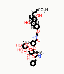 CC[C@@H]1CC(C(=O)NCCO[C@@H]2CC[C@@]3(C)[C@@H](C2)C[C@@H](O)[C@@H]2[C@@H]3C[C@H](O)[C@]3(C)[C@@H]([C@H](C)CCC(=O)O)CC[C@@H]23)C[C@@H](O[C@@H]2O[C@@H](CO)[C@H](O)C(O[C@@H](CC3CCCCC3)C(=O)N(C)C)C2NC(C)=O)C1OC1O[C@@H](C)C(O)[C@H](O)[C@@H]1O